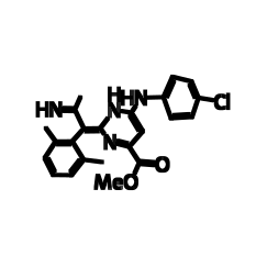 COC(=O)C1=N/C(=C(/C(C)=N)c2c(C)cccc2C)NC(Nc2ccc(Cl)cc2)=C1